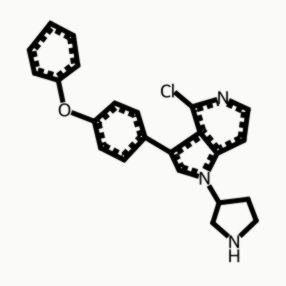 Clc1nccc2c1c(-c1ccc(Oc3ccccc3)cc1)cn2C1CCNC1